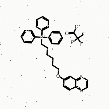 O=C([O-])C(F)(F)F.c1ccc([P+](CCCCCCOc2ccc3nccnc3c2)(c2ccccc2)c2ccccc2)cc1